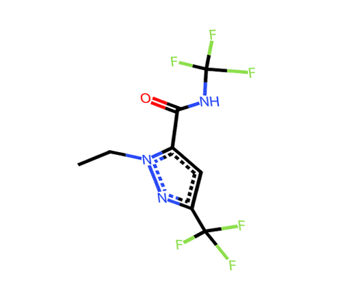 CCn1nc(C(F)(F)F)cc1C(=O)NC(F)(F)F